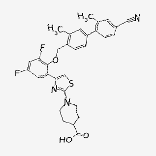 Cc1cc(-c2ccc(C#N)cc2C)ccc1COc1c(F)cc(F)cc1-c1csc(N2CCC(C(=O)O)CC2)n1